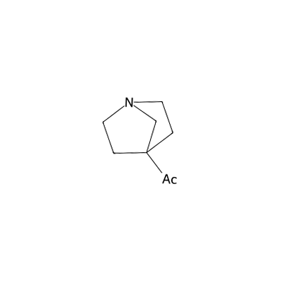 CC(=O)C12CCN(CC1)C2